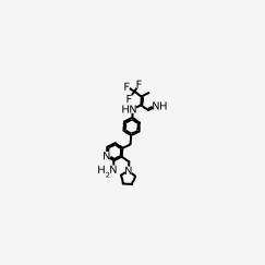 C/C(=C(\C=N)Nc1ccc(Cc2ccnc(N)c2CN2CCCC2)cc1)C(F)(F)F